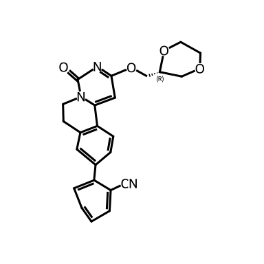 N#Cc1ccccc1-c1ccc2c(c1)CCn1c-2cc(OC[C@H]2COCCO2)nc1=O